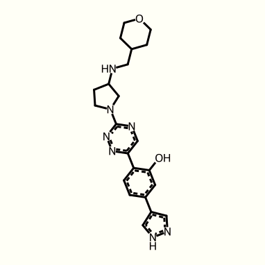 Oc1cc(-c2cn[nH]c2)ccc1-c1cnc(N2CCC(NCC3CCOCC3)C2)nn1